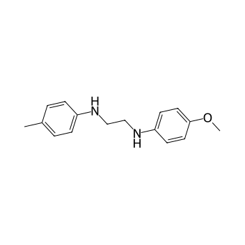 COc1ccc(NCCNc2ccc(C)cc2)cc1